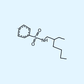 CCCCC(CC)CNS(=O)(=O)c1cc[c]cc1